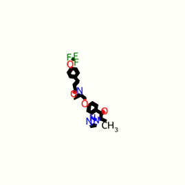 CCC(C(=O)c1ccc(OCc2coc(C=Cc3ccc(OC(F)(F)F)cc3)n2)cc1)n1ccnn1